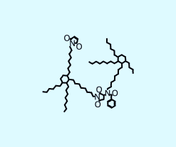 CCCCCCCCC1C(CCCCCC)CCC(CCCC)C1CCCCCCCCN(C(=O)c1ccccc1)C1CC(=O)N(CCCCCCCCC2C(CCCCCCCCN3C(=O)C=CC3=O)CCC(CCCCCC)C2CCCCCCCC)C1=O